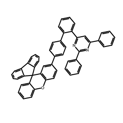 c1ccc(-c2cc(-c3ccccc3-c3ccc(-c4ccc5c(c4)C4(c6ccccc6O5)c5ccccc5-c5ccccc54)cc3)nc(-c3ccccc3)n2)cc1